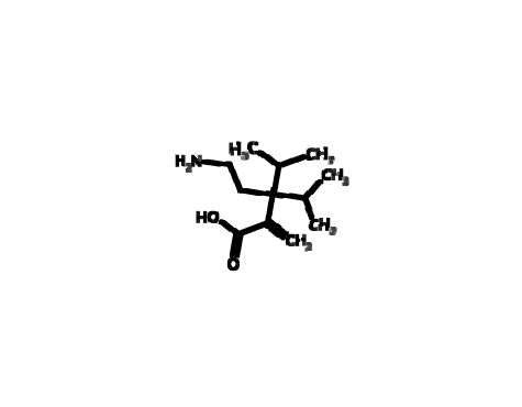 C=C(C(=O)O)C(CCN)(C(C)C)C(C)C